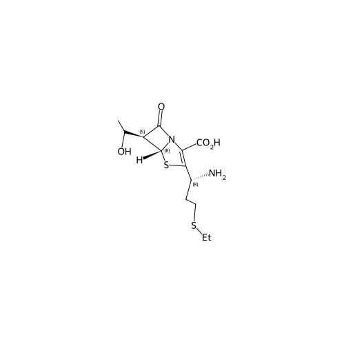 CCSCC[C@@H](N)C1=C(C(=O)O)N2C(=O)[C@H](C(C)O)[C@H]2S1